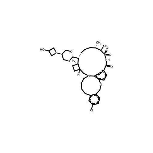 C[C@@H]1[C@@H](C)CCC[C@@H]([C@H]2OC[C@H](N3CC(O)C3)CO2)[C@@H]2CC[C@H]2CN2CCCCc3cc(Cl)ccc3COc3ccc(cc32)C(=O)NS1(=O)=O